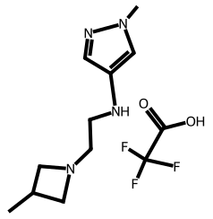 CC1CN(CCNc2cnn(C)c2)C1.O=C(O)C(F)(F)F